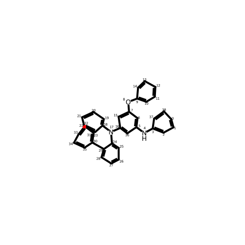 c1ccc(Nc2cc(Oc3ccccc3)cc(N(c3ccccc3)c3ccccc3-c3ccccc3)c2)cc1